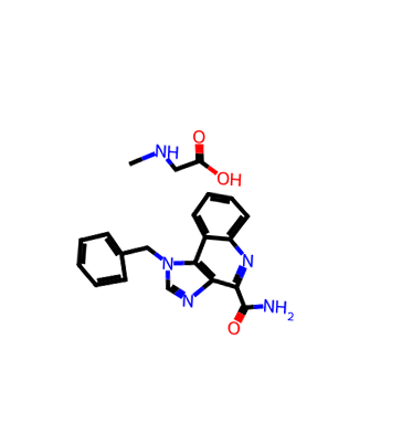 CNCC(=O)O.NC(=O)c1nc2ccccc2c2c1ncn2Cc1ccccc1